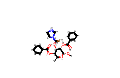 CO[C@@H]1O[C@@H](C)[C@@H](OC(=O)c2ccccc2)[C@@H](OC(=S)n2ccnc2)[C@@H]1OC(=O)c1ccccc1